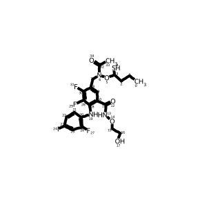 CCCC(S)ON(Cc1cc(C(=O)NOCCO)c(Nc2ccc(I)cc2F)c(F)c1F)C(C)=O